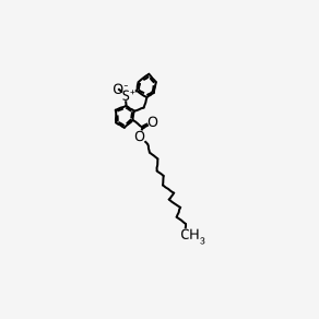 CCCCCCCCCCCCOC(=O)c1cccc2c1Cc1ccccc1[S+]2[O-]